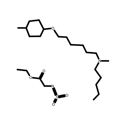 CCCCCN(C)CCCCCCOC1CCC(C)CC1.CCOC(=O)CN=S(=O)=O